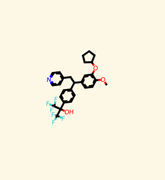 COc1ccc(C(Cc2ccncc2)c2ccc(C(O)(C(F)(F)F)C(F)(F)F)cc2)cc1OC1CCCC1